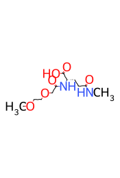 CNC(=O)CC[C@H](NC(=O)COCCOC)C(=O)O